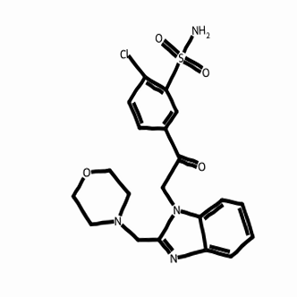 NS(=O)(=O)c1cc(C(=O)Cn2c(CN3CCOCC3)nc3ccccc32)ccc1Cl